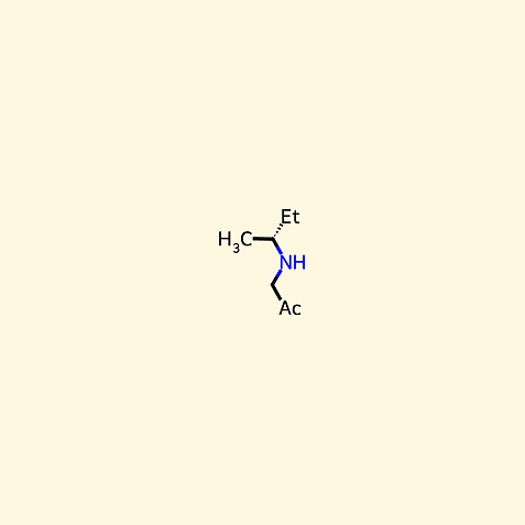 CC[C@@H](C)NCC(C)=O